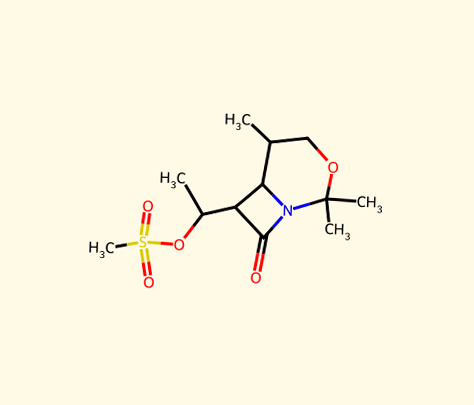 CC1COC(C)(C)N2C(=O)C(C(C)OS(C)(=O)=O)C12